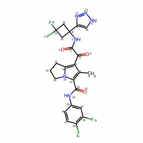 Cc1c(C(=O)C(=O)NC2(c3c[nH]nn3)CC(F)(F)C2)c2n(c1C(=O)Nc1ccc(F)c(F)c1)CCC2